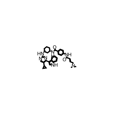 CN(C)CC=CC(=O)Nc1ccc(C(=O)N[C@H]2CCC[C@@H](Nc3ncc(C4CC4)c(-c4c[nH]c5ccccc45)n3)C2)cc1